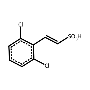 O=S(=O)(O)C=Cc1c(Cl)cccc1Cl